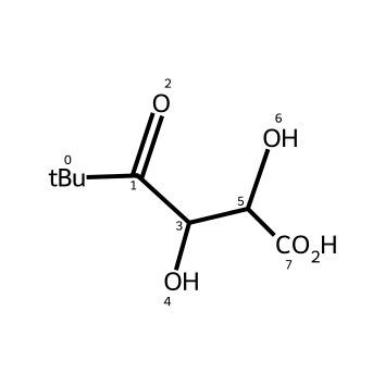 CC(C)(C)C(=O)C(O)C(O)C(=O)O